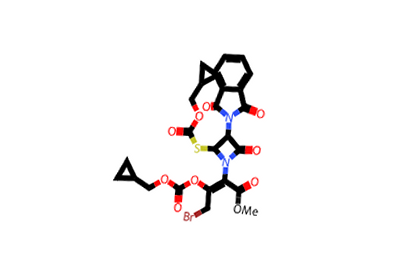 COC(=O)/C(=C(\CBr)OC(=O)OCC1CC1)N1C(=O)C(N2C(=O)c3ccccc3C2=O)C1SC(=O)OCC1CC1